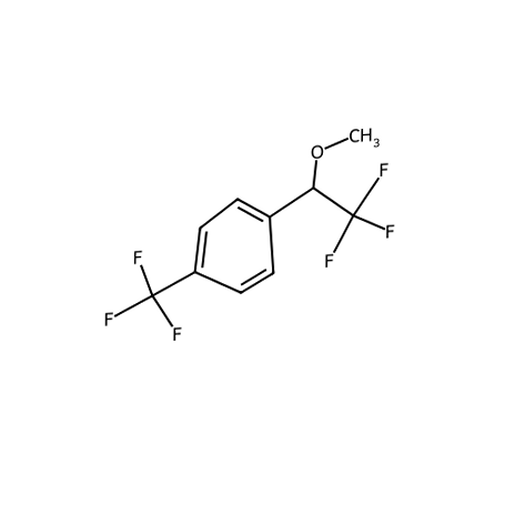 COC(c1ccc(C(F)(F)F)cc1)C(F)(F)F